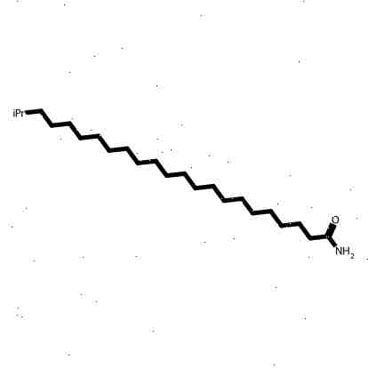 CC(C)CCCCCCCCCCCCCCCCCCCCC(N)=O